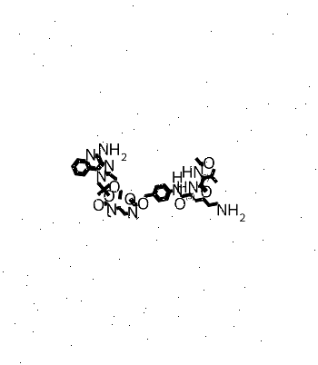 CCOCc1nc2c(N)nc3ccccc3c2n1CC(C)(C)OC(=O)N(C)CCN(C)C(=O)OCc1ccc(NC(=O)[C@H](CCCCN)NC(=O)[C@@H](NC(C)=O)C(C)C)cc1